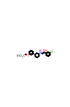 CCOC(=O)COc1cccc([C@@H]2CCC[C@@H](NC[C@H](O)c3cccc(Cl)c3)C2)c1